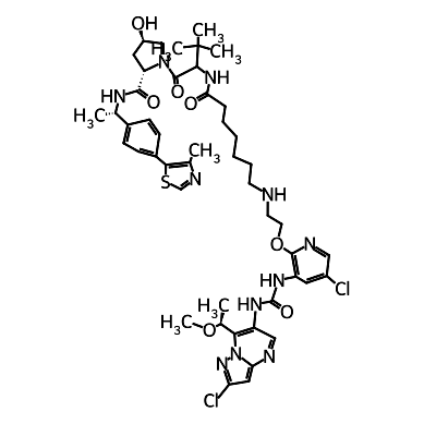 CO[C@@H](C)c1c(NC(=O)Nc2cc(Cl)cnc2OCCNCCCCCCC(=O)NC(C(=O)N2C[C@H](O)C[C@H]2C(=O)N[C@@H](C)c2ccc(-c3scnc3C)cc2)C(C)(C)C)cnc2cc(Cl)nn12